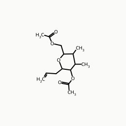 C=CCC1OC(COC(C)=O)C(C)C(C)C1OC(C)=O